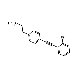 O=C(O)CCc1ccc(C#Cc2ccccc2Br)cc1